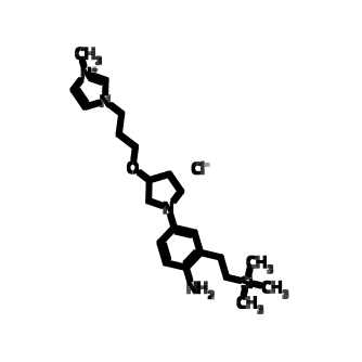 C[n+]1ccn(CCCOC2CCN(c3ccc(N)c(CC[Si](C)(C)C)c3)C2)c1.[Cl-]